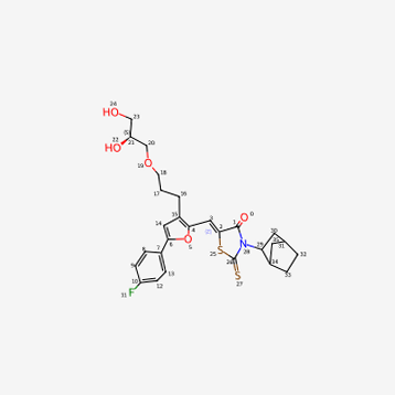 O=C1/C(=C/c2oc(-c3ccc(F)cc3)cc2CCCOC[C@@H](O)CO)SC(=S)N1C1CC2CCC1C2